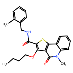 CCCCOc1c(C(=O)NCc2ccccc2C)sc2c1c(=O)n(C)c1ccccc21